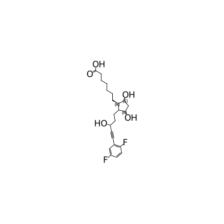 O=C(O)CCCCCC[C@@H]1C(CCC(O)C#Cc2cc(F)ccc2F)[C@H](O)C[C@@H]1O